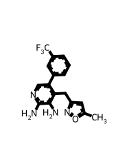 Cc1cc(Cc2c(-c3cccc(C(F)(F)F)c3)cnc(N)c2N)no1